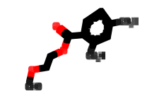 O=COCCOC(=O)c1ccc(C(=O)O)cc1C(=O)O